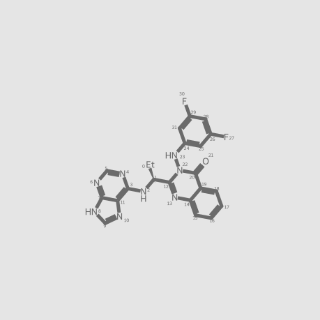 CC[C@H](Nc1ncnc2[nH]cnc12)c1nc2ccccc2c(=O)n1Nc1cc(F)cc(F)c1